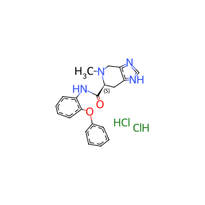 CN1Cc2nc[nH]c2C[C@H]1C(=O)Nc1ccccc1Oc1ccccc1.Cl.Cl